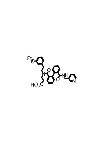 CCOc1cccc(CCN(CCC(=O)O)C(=O)c2ccccc2-c2ccccc2C(=O)NCc2cccnc2)c1